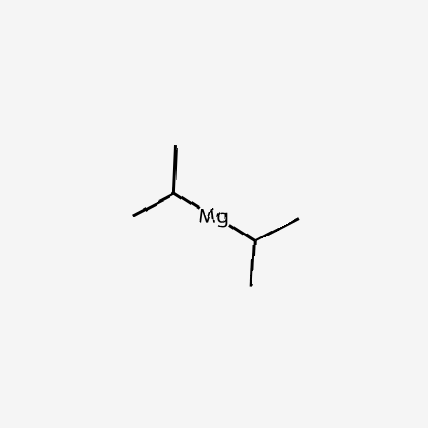 C[CH](C)[Mg][CH](C)C